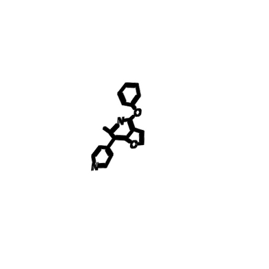 Cc1nc(Oc2ccccc2)c2ccoc2c1-c1ccncc1